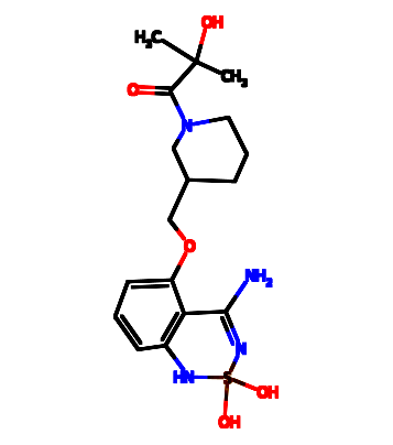 CC(C)(O)C(=O)N1CCCC(COc2cccc3c2C(N)=NS(O)(O)N3)C1